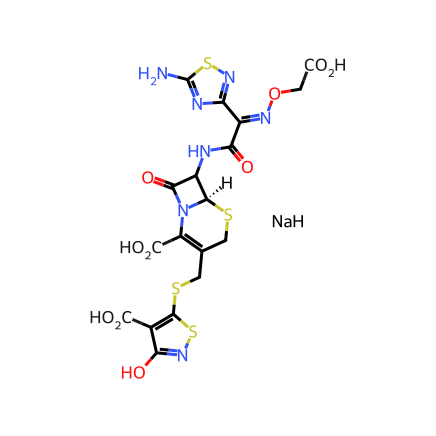 Nc1nc(/C(=N\OCC(=O)O)C(=O)NC2C(=O)N3C(C(=O)O)=C(CSc4snc(O)c4C(=O)O)CS[C@H]23)ns1.[NaH]